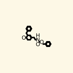 O=C(NCCC1=CC(Cc2ccccc2)C(=O)CC1)OCc1ccccc1